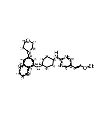 CCO/C=C/c1cnc(NC2CCC(Oc3cc(N4CCOCC4)cc4nccnc34)CC2)nc1